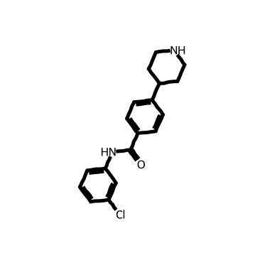 O=C(Nc1cccc(Cl)c1)c1ccc(C2CCNCC2)cc1